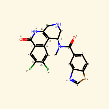 CN(C(=O)c1ccc2scnc2c1)[C@@H]1CNCc2[nH]c(=O)c3cc(F)c(F)cc3c21